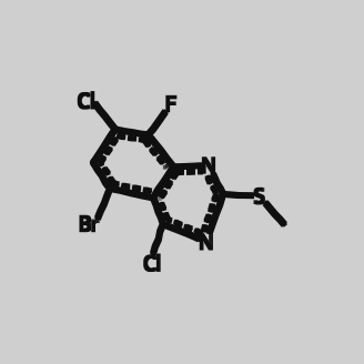 CSc1nc(Cl)c2c(Br)cc(Cl)c(F)c2n1